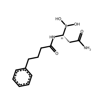 NC(=O)C[C@H](NC(=O)CCCc1ccccc1)B(O)O